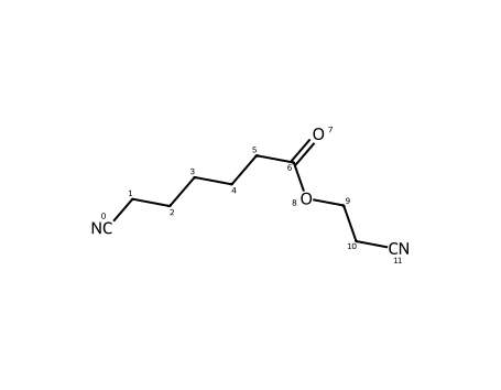 N#CCCCCCC(=O)OCCC#N